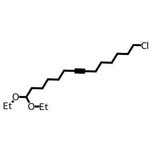 CCOC(CCCCCC#CCCCCCCCl)OCC